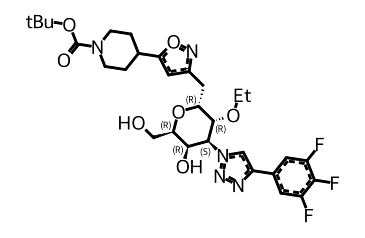 CCO[C@@H]1[C@@H](n2cc(-c3cc(F)c(F)c(F)c3)nn2)[C@@H](O)[C@@H](CO)O[C@@H]1Cc1cc(C2CCN(C(=O)OC(C)(C)C)CC2)on1